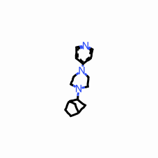 c1cc(N2CCN(C3CC4CCC3C4)CC2)ccn1